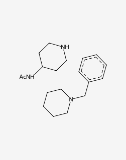 CC(=O)NC1CCNCC1.c1ccc(CN2CCCCC2)cc1